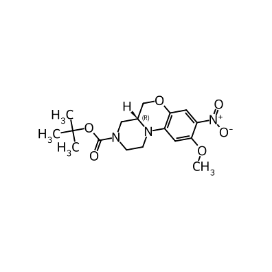 COc1cc2c(cc1[N+](=O)[O-])OC[C@H]1CN(C(=O)OC(C)(C)C)CCN21